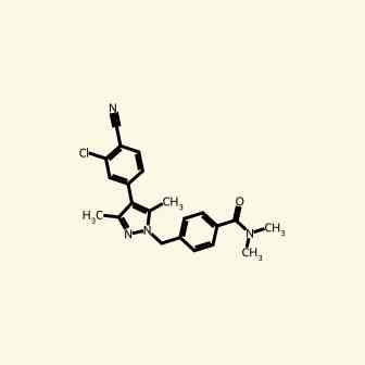 Cc1nn(Cc2ccc(C(=O)N(C)C)cc2)c(C)c1-c1ccc(C#N)c(Cl)c1